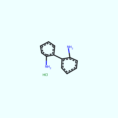 Cl.Nc1ccccc1-c1ccccc1N